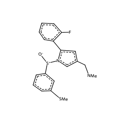 CNCc1cc(-c2ccccc2F)n([S+]([O-])c2cccc(SC)c2)c1